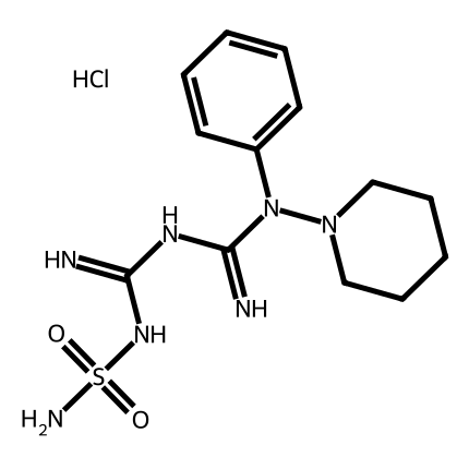 Cl.N=C(NC(=N)N(c1ccccc1)N1CCCCC1)NS(N)(=O)=O